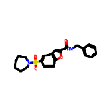 O=C(NCc1ccccc1)c1cc2cc(S(=O)(=O)N3CCCCCC3)ccc2o1